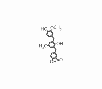 COc1cc(Cc2cc(C)cc(Cc3ccc(O)c(C=O)c3)c2O)ccc1O